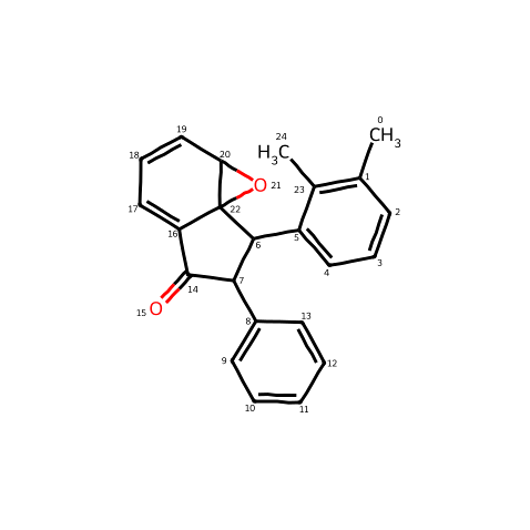 Cc1cccc(C2C(c3ccccc3)C(=O)C3=CC=CC4OC342)c1C